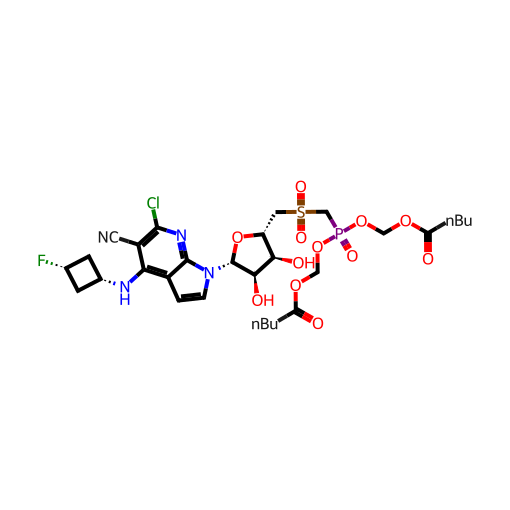 CCCCC(=O)OCOP(=O)(CS(=O)(=O)C[C@H]1O[C@@H](n2ccc3c(N[C@H]4C[C@@H](F)C4)c(C#N)c(Cl)nc32)[C@H](O)[C@@H]1O)OCOC(=O)CCCC